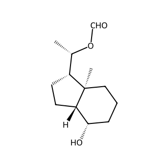 C[C@H](OC=O)[C@H]1CC[C@H]2[C@@H](O)CCC[C@]12C